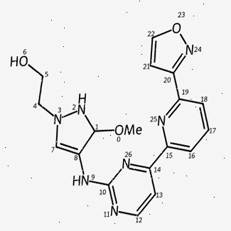 COC1NN(CCO)C=C1Nc1nccc(-c2cccc(-c3ccon3)n2)n1